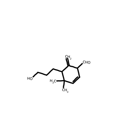 C=C1C(C=O)C=CC(C)(C)C1CCCO